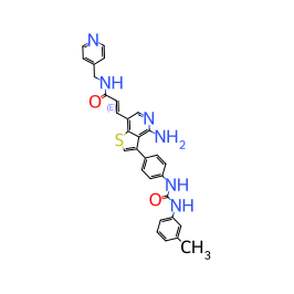 Cc1cccc(NC(=O)Nc2ccc(-c3csc4c(/C=C/C(=O)NCc5ccncc5)cnc(N)c34)cc2)c1